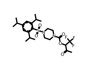 CC(=O)C(OC(=O)N1CCN(S(=O)(=O)c2c(C(C)C)cc(C(C)C)cc2C(C)C)CC1)C(F)(F)F